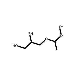 CC(C)OC(C)OCC(S)CO